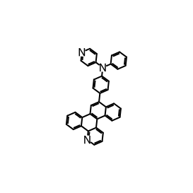 c1ccc(N(c2ccncc2)c2ccc(-c3cc4c5ccccc5c5ncccc5c4c4ccccc34)cc2)cc1